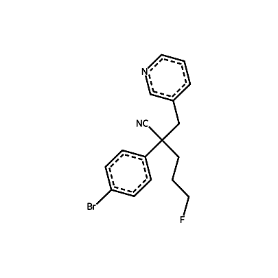 N#CC(CCCF)(Cc1cccnc1)c1ccc(Br)cc1